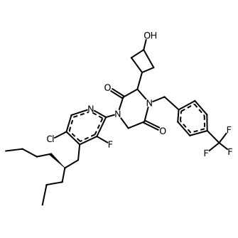 CCCC[C@H](CCC)Cc1c(Cl)cnc(N2CC(=O)N(Cc3ccc(C(F)(F)F)cc3)C(C3CC(O)C3)C2=O)c1F